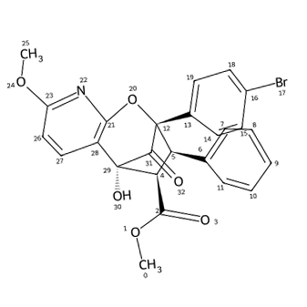 COC(=O)[C@@H]1[C@H](c2ccccc2)[C@@]2(c3ccc(Br)cc3)Oc3nc(OC)ccc3[C@@]1(O)C2=O